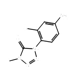 Cn1nnn(-c2ccc(N)cc2Cl)c1=O